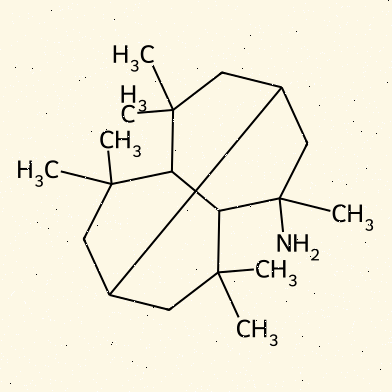 CC1(C)CC2CC(C)(C)C3C1C(C)(C)CC2CC3(C)N